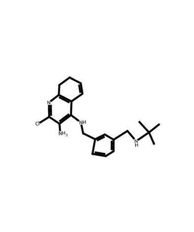 CC(C)(C)NCc1cccc(CNc2c(N)c(Cl)nc3c2C=CCC3)c1